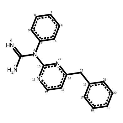 N=C(N)N(c1ccccc1)c1nccc(Cc2ccccc2)n1